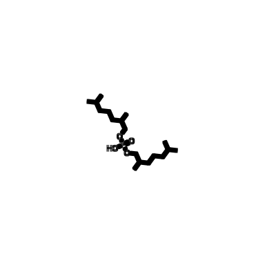 CC(C)CCCC(C)COP(=O)(O)OCC(C)CCCC(C)C